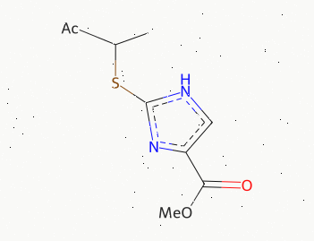 COC(=O)c1c[nH]c(SC(C)C(C)=O)n1